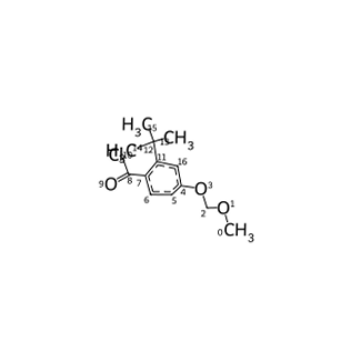 COCOc1ccc(C(=O)Cl)c(C(C)(C)C)c1